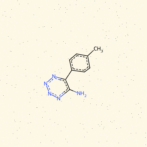 Cc1ccc(-c2nnnnc2N)cc1